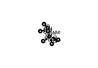 CO[C@H]1O[C@@H]2COC(c3ccccc3)O[C@H]2[C@H](OCc2ccccc2)[C@@H]1O[C@H]1O[C@H](COS(=O)(=O)c2ccccc2C)[C@H](OCc2ccccc2)[C@H]1OCc1ccccc1